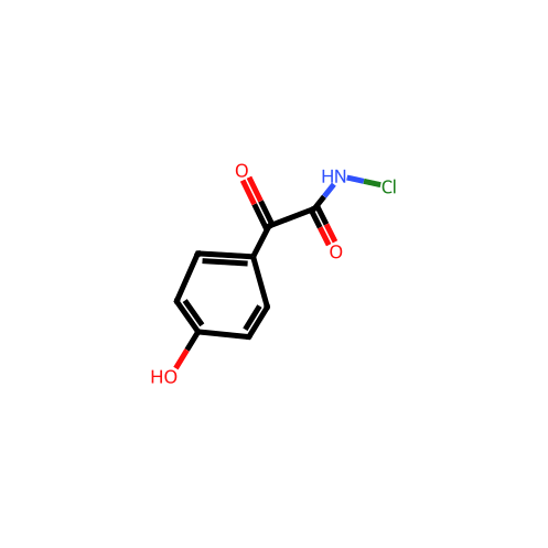 O=C(NCl)C(=O)c1ccc(O)cc1